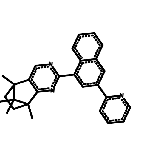 CC12CCC(C)(c3nc(-c4cc(-c5ccccn5)cc5ccccc45)ncc31)C2(C)C